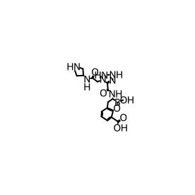 O=C(CN1NNN=C1C(=O)N[C@H]1Cc2cccc(C(=O)O)c2OB1O)N[C@H]1CCNC1